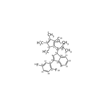 CC1=C(C)C(C)[C]([Zr]([CH]2C=C(c3cc(F)ccc3F)c3ccccc32)=[Si](C)C)=C1C